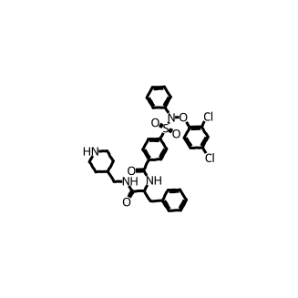 O=C(NC(Cc1ccccc1)C(=O)NCC1CCNCC1)c1ccc(S(=O)(=O)N(Oc2ccc(Cl)cc2Cl)c2ccccc2)cc1